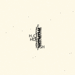 CCO.FC(F)(F)C(F)(F)C(F)(F)C(F)(F)C(F)(F)C(F)(F)C(F)(F)C(F)(F)C(F)(F)C(F)(F)S